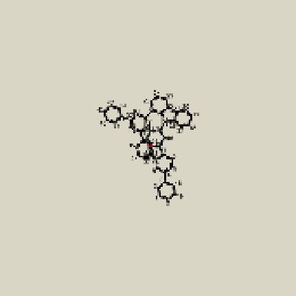 c1ccc(-c2ccc3c(c2)oc2ccc(-n4c5ccccc5c5cccc(-c6nc(-c7ccccc7)nc(-c7ccccc7)n6)c54)cc23)cc1